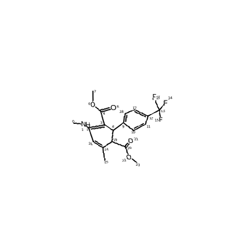 CNC1=C(C(=O)OC)C(c2ccc(C(F)(F)F)cc2)C(C(=O)OC)C(C)=C1